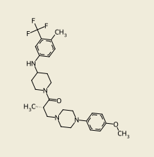 COc1ccc(N2CCN(C[C@H](C)C(=O)N3CCC(Nc4ccc(C)c(C(F)(F)F)c4)CC3)CC2)cc1